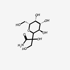 NC(=O)C(O)(CO)C1O[C@H](CO)[C@H](O)[C@H](O)[C@H]1O